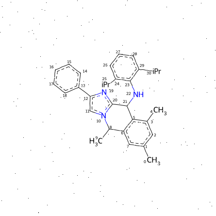 Cc1cc(C)c2c(c1)C(C)n1cc(-c3ccccc3)nc1C2Nc1c(C(C)C)cccc1C(C)C